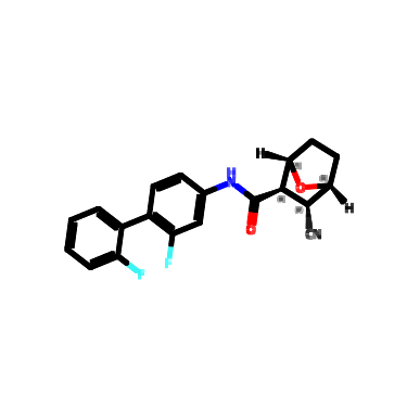 N#C[C@H]1[C@@H](C(=O)Nc2ccc(-c3ccccc3F)c(F)c2)[C@@H]2CC[C@H]1O2